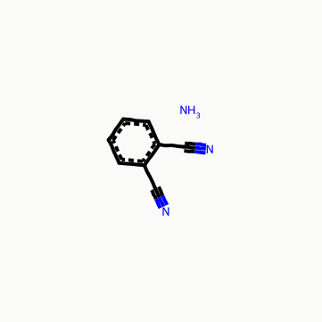 N.N#Cc1ccccc1C#N